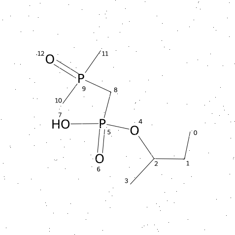 CCC(C)OP(=O)(O)CP(C)(C)=O